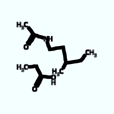 CCC(=O)O.CCC(C)CCNC(C)=O